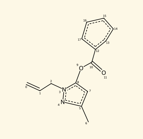 C=CCn1nc(C)cc1OC(=O)c1ccccc1